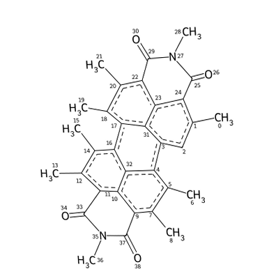 Cc1cc2c3c(C)c(C)c4c5c(c(C)c(C)c(c6c(C)c(C)c7c(c1C(=O)N(C)C7=O)c26)c53)C(=O)N(C)C4=O